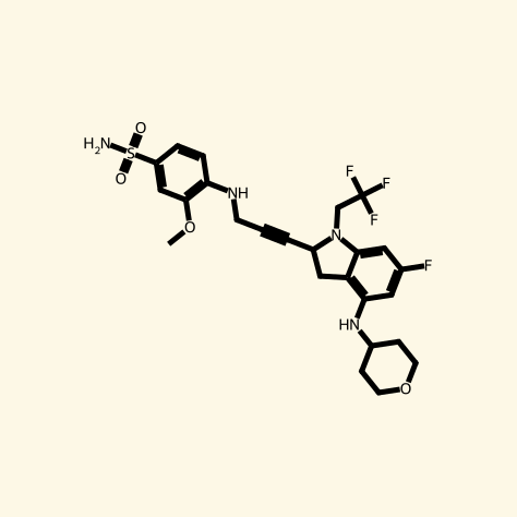 COc1cc(S(N)(=O)=O)ccc1NCC#CC1Cc2c(NC3CCOCC3)cc(F)cc2N1CC(F)(F)F